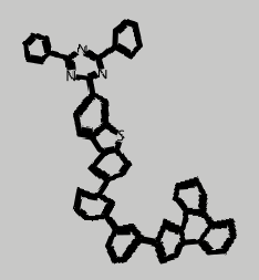 c1ccc(-c2nc(-c3ccccc3)nc(-c3ccc4c(c3)sc3ccc(-c5cccc(-c6cccc(-c7ccc8c9ccccc9c9ccccc9c8c7)c6)c5)cc34)n2)cc1